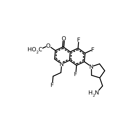 NCC1CCN(c2c(F)c(F)c3c(=O)c(OC(=O)O)cn(CCF)c3c2F)C1